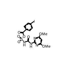 COc1cc(OC)nc(NC(=O)NS(=O)(=O)OC(=O)c2ccc(I)cc2)n1